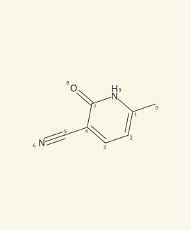 Cc1[c]cc(C#N)c(=O)[nH]1